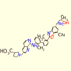 Cc1c(Nc2nccc3cc(CN4CCC(C(=O)O)C4)cnc23)cccc1-c1cccc(-c2nc3cc(CNCC(C)O)cc(C#N)c3o2)c1C